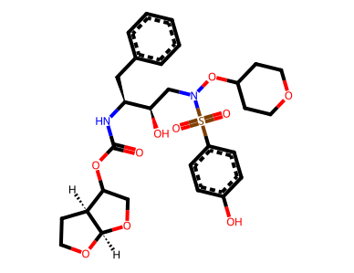 O=C(N[C@@H](Cc1ccccc1)[C@H](O)CN(OC1CCOCC1)S(=O)(=O)c1ccc(O)cc1)OC1CO[C@H]2OCC[C@@H]12